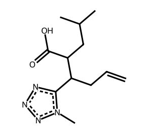 C=CCC(c1nnnn1C)C(CC(C)C)C(=O)O